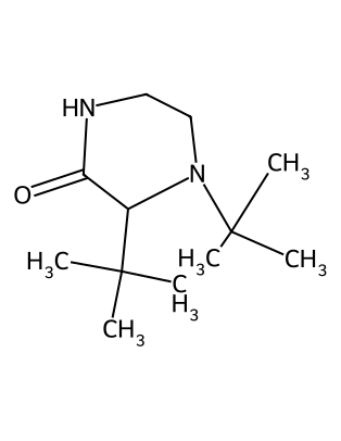 CC(C)(C)C1C(=O)NCCN1C(C)(C)C